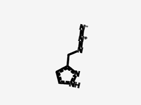 [N-]=[N+]=NCc1cc[nH]n1